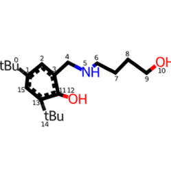 CC(C)(C)c1cc(CNCCCCO)c(O)c(C(C)(C)C)c1